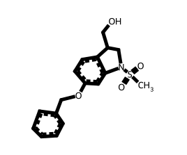 CS(=O)(=O)N1CC(CO)c2ccc(OCc3ccccc3)cc21